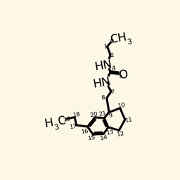 CCCNC(=O)NCCC1CCCc2ccc(CCC)cc21